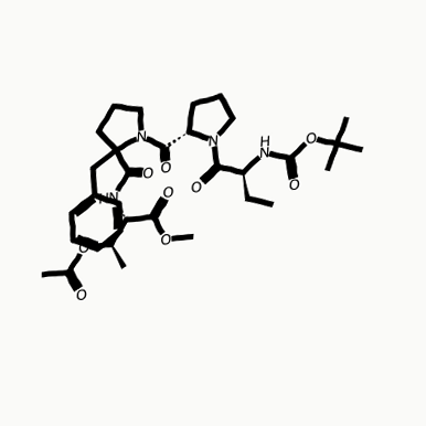 CC[C@H](NC(=O)OC(C)(C)C)C(=O)N1CCC[C@H]1C(=O)N1CCCC1(Cc1ccccc1)C(=O)N[C@H](C(=O)OC)[C@@H](C)OC(C)=O